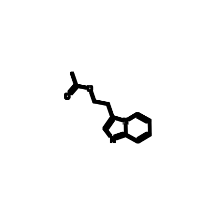 CC(=O)OCCc1cnc2ccccn12